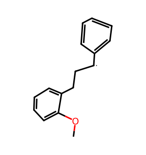 COc1ccccc1CC[CH]c1ccccc1